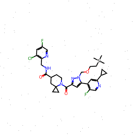 C[Si](C)(C)CCOCn1nc(C(=O)N2CCC(C(=O)NCc3ncc(F)cc3Cl)CC23CC3)cc1-c1cc(C2CC2)ncc1F